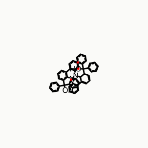 OC(c1ccccc1)(c1ccccc1)c1cccc2c1N1c3ccccc3C3=CC=CC(C(O)(c4ccccc4)c4ccccc4)C3N1c1ccccc1-2